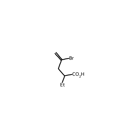 C=C(Br)CC(CC)C(=O)O